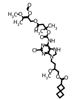 CO/C(C)=C(/COC(=O)CC(C)(C)OC(=O)Nc1nc(Cl)nc2c1NCN2CCC(COC(=O)C1CC2(CCC2)C1)OC)OC=O